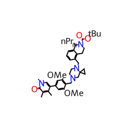 CCC[C@@H]1c2cccc(CN3CCN(Cc4c(OC)cc(-c5cn(C)c(=O)c(C)c5C)cc4OC)CC34CC4)c2CCN1C(=O)OC(C)(C)C